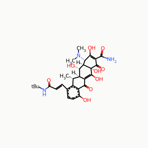 C[C@H]1c2c(/C=C/C(=O)NC(C)(C)C)ccc(O)c2C(=O)C2=C(O)[C@]3(O)C(=O)C(C(N)=O)=C(O)[C@@H](N(C)C)[C@@H]3[C@@H](O)[C@@H]21